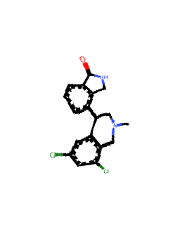 CN1Cc2c(Cl)cc(Cl)cc2C(c2cccc3c2CNC3=O)C1